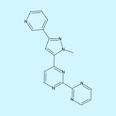 Cn1nc(-c2cccnc2)cc1-c1ccnc(-c2ncccn2)n1